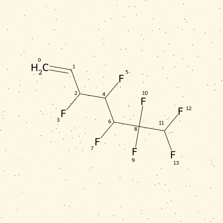 C=CC(F)C(F)C(F)C(F)(F)C(F)F